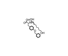 NC(Cc1ccc(OCc2ccccc2)cc1)C(=O)O.OCCCCCCCCO